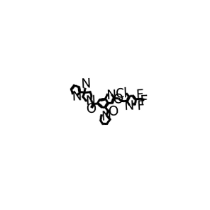 N#CC1(c2ccccn2)CCN(C(=O)c2cc(C(=O)N3CCCCC3)c3cc(OCc4ncc(C(F)(F)F)cc4Cl)ncc3c2)CC1